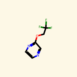 FC(F)(F)COc1cnc[c]n1